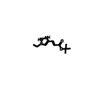 CCN1C=C(/C=C/C(=O)OC(C)(C)C)NN1